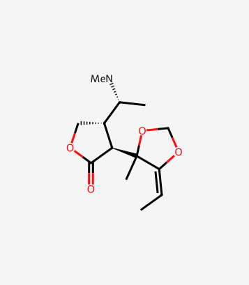 C/C=C1/OCOC1(C)[C@H]1C(=O)OC[C@@H]1[C@@H](C)NC